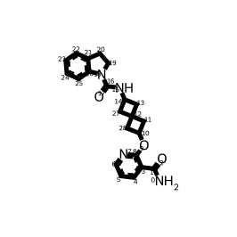 NC(=O)c1cccnc1OC1CC2(CC(NC(=O)N3CCc4ccccc43)C2)C1